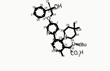 Cc1ncc(-c2ccc(OC[C@@](C)(O)c3ccccc3)cn2)c(N2CCC(C)(C)CC2)c1[C@H](OC(C)(C)C)C(=O)O